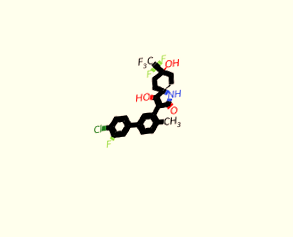 Cc1ccc(-c2ccc(Cl)c(F)c2)cc1C1=C(O)[C@]2(CC[C@](O)(C(F)(F)C(F)(F)F)CC2)NC1=O